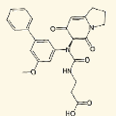 COc1cc(-c2ccccc2)cc(N(C(=O)NCCC(=O)O)[C@H]2C(=O)C=C3CCCN3C2=O)c1